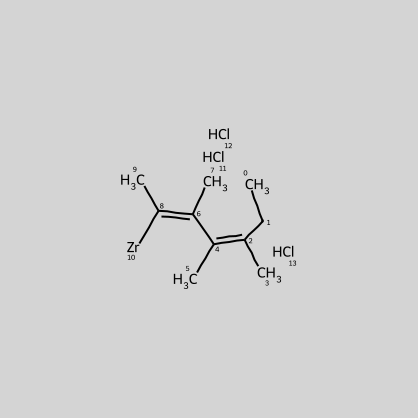 CCC(C)=C(C)C(C)=[C](C)[Zr].Cl.Cl.Cl